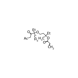 C=CC(=O)OC(C)(CC)CCOC(C)(CC)C(=O)CC(C)=O